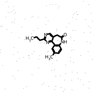 CCCc1ncc2c(n1)-c1cc(C)ccc1NC(=O)C2